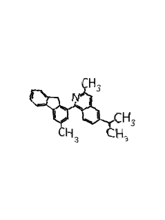 Cc1cc2c(c(-c3nc(C)cc4cc(C(C)C)ccc34)c1)Cc1ccccc1-2